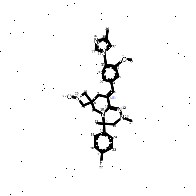 COc1cc(/C=C2\CC3(CN4C2=NN(C)CC4(C)c2ccc(F)cc2)C[S+]([O-])C3)ccc1-n1cnc(C)c1